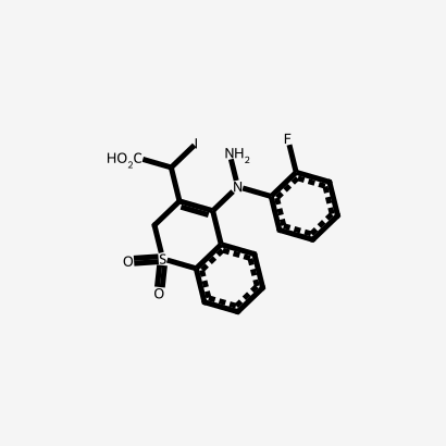 NN(C1=C(C(I)C(=O)O)CS(=O)(=O)c2ccccc21)c1ccccc1F